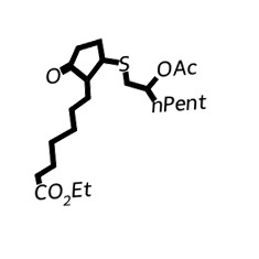 CCCCCC(CSC1CCC(=O)C1CCCCCCC(=O)OCC)OC(C)=O